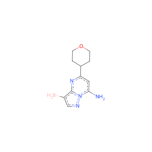 Bc1cnn2c(N)cc(C3CCOCC3)nc12